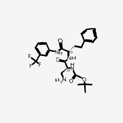 CC(C)(C)OC(=O)N[C@@H](CN)C(=O)N[C@@H](CCc1ccccc1)C(=O)Nc1cccc(C(F)(F)F)c1